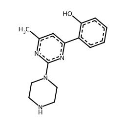 Cc1cc(-c2ccccc2O)nc(N2CCNCC2)n1